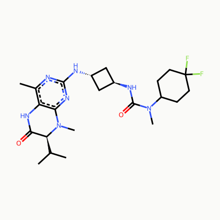 Cc1nc(N[C@H]2C[C@H](NC(=O)N(C)C3CCC(F)(F)CC3)C2)nc2c1NC(=O)[C@H](C(C)C)N2C